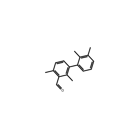 Cc1cccc(-c2ccc(C)c(C=O)c2C)c1C